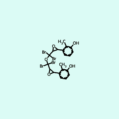 Cc1c(O)cccc1C1OC1C(Br)(Br)OC(Br)(Br)C1OC1c1cccc(O)c1C